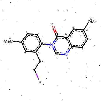 COc1ccc(-n2cnc3ccc(OC)cc3c2=O)c(CCI)c1